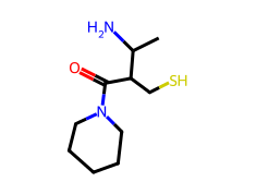 CC(N)C(CS)C(=O)N1CCCCC1